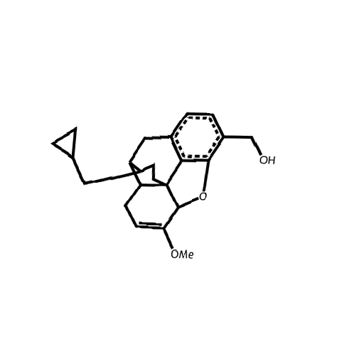 COC1=CCC2C3Cc4ccc(CO)c5c4C2(CCC3CC2CC2)C1O5